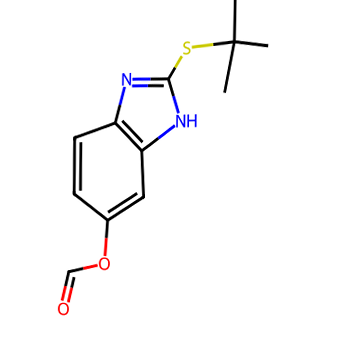 CC(C)(C)Sc1nc2ccc(OC=O)cc2[nH]1